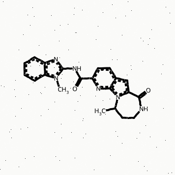 CC1CCNC(=O)c2cc3ccc(C(=O)Nc4nc5ccccc5n4C)nc3n21